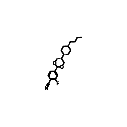 CCCC[C@H]1CC[C@H]([C@H]2CO[C@H](c3ccc(C#N)c(F)c3)OC2)CC1